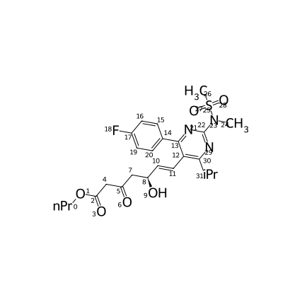 CCCOC(=O)CC(=O)C[C@H](O)/C=C/c1c(-c2ccc(F)cc2)nc(N(C)S(C)(=O)=O)nc1C(C)C